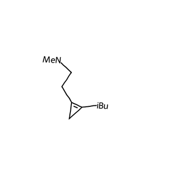 CCC(C)C1=C(CCNC)C1